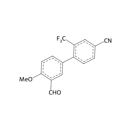 COc1ccc(-c2ccc(C#N)cc2C(F)(F)F)cc1C=O